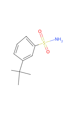 CC(C)(C)c1cccc(S(N)(=O)=O)c1